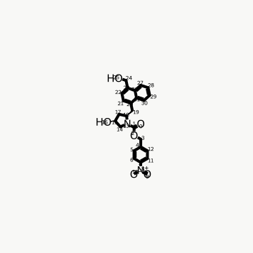 O=C(OCc1ccc([N+](=O)[O-])cc1)N1C[C@H](O)C[C@H]1Cc1ccc(CO)c2ccccc12